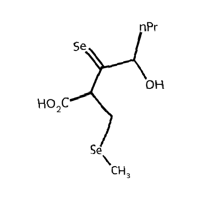 CCCC(O)C(=[Se])C(C[Se]C)C(=O)O